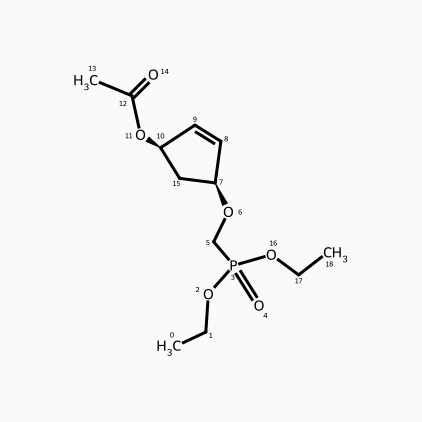 CCOP(=O)(CO[C@@H]1C=C[C@H](OC(C)=O)C1)OCC